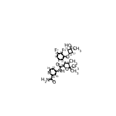 C[C@H]1[C@@H](c2ccc(F)c(F)c2O[C@H]2C[C@@](C)(O)C2)[C@H](C(=O)Nc2ccnc(C(N)=O)c2)O[C@@]1(C)C(F)(F)F